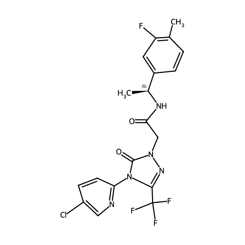 Cc1ccc([C@H](C)NC(=O)Cn2nc(C(F)(F)F)n(-c3ccc(Cl)cn3)c2=O)cc1F